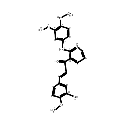 COc1ccc(/C=C/C(=O)c2cccnc2Nc2ccc(OC)c(OC)c2)cc1O